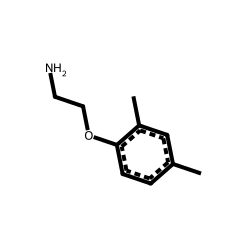 Cc1ccc(OCCN)c(C)c1